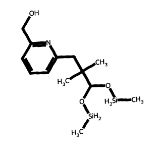 C[SiH2]OC(O[SiH2]C)C(C)(C)Cc1cccc(CO)n1